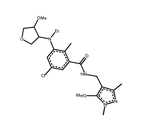 CCN(c1cc(Cl)cc(C(=O)NCc2c(C)nn(C)c2OC)c1C)C1COCC1OC